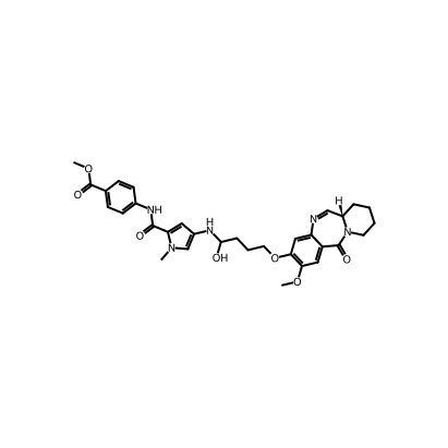 COC(=O)c1ccc(NC(=O)c2cc(NC(O)CCCOc3cc4c(cc3OC)C(=O)N3CCCC[C@H]3C=N4)cn2C)cc1